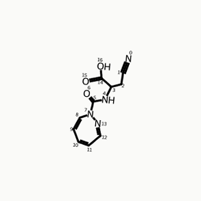 N#CCC(NC(=O)N1C=CC=CC=N1)C(=O)O